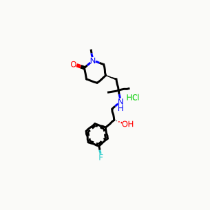 CN1C[C@@H](CC(C)(C)NC[C@H](O)c2cccc(F)c2)CCC1=O.Cl